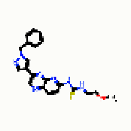 COCCNC(=S)Nc1ccc2ncc(-c3cnn(Cc4ccccc4)c3)nc2n1